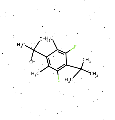 Cc1c(F)c(C(C)(C)C)c(F)c(C)c1C(C)(C)C